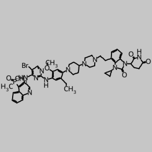 CCc1cc(Nc2ncc(Br)c(Nc3cnc4ccccc4c3P(C)(C)=O)n2)c(OC)cc1N1CCC(N2CCN(CCc3cccc4c3n(C3CC3)c(=O)n4C3CCC(=O)NC3=O)CC2)CC1